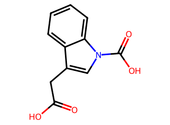 O=C(O)Cc1cn(C(=O)O)c2ccccc12